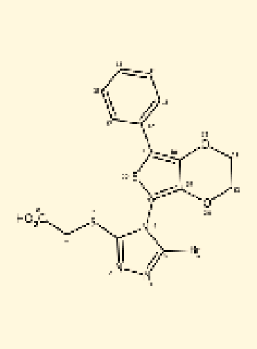 O=C(O)CSc1nnc(Br)n1-c1sc(-c2ccccc2)c2c1OCCO2